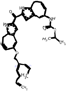 C=CC/C=C(\C=C/C)COC1=Cc2cc(C(=O)c3cc4c([nH]3)CC=CC(NC(=O)OC(C)C)=C4)[nH]c2CC=C1